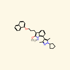 Cc1nn(C2CCCC2)c(C)c1-c1cccc2c(CCCOc3cccc4ccccc34)c(OC(=O)O)[nH]c12